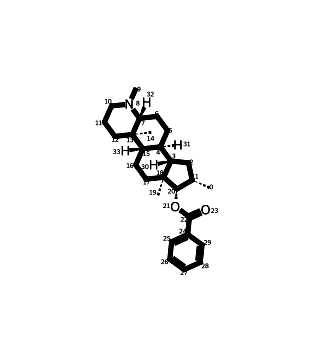 C[C@H]1C[C@H]2[C@@H]3CC[C@H]4N(C)CCC[C@]4(C)[C@H]3CC[C@]2(C)[C@H]1OC(=O)c1ccccc1